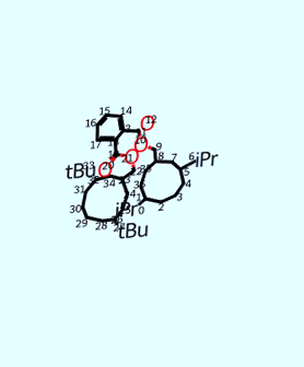 CC(C)C1CCCC(C(C)C)CC(COC(=O)c2ccccc2C(=O)OCC2CCC(C(C)(C)C)CCCCC(C(C)(C)C)C2)CC1